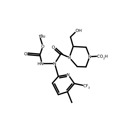 Cc1ccc(N(NC(=O)OC(C)(C)C)C(=O)N2CCN(C(=O)O)CC2CO)nc1C(F)(F)F